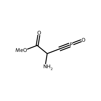 COC(=O)C(N)C#P=O